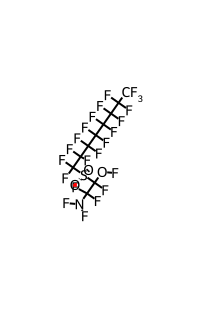 O=S(=O)(C(F)(F)C(F)(F)C(F)(F)C(F)(F)C(F)(F)C(F)(F)C(F)(F)C(F)(F)F)C(F)(OF)C(F)(F)N(F)F